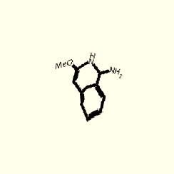 COC1=Cc2cc[c]cc2C(N)N1